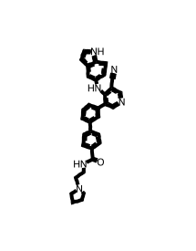 N#Cc1cncc(-c2cccc(-c3ccc(C(=O)NCCN4CCCC4)cc3)c2)c1Nc1ccc2[nH]ccc2c1